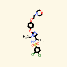 CCn1c(C(C)NS(=O)(=O)c2ccc(Cl)c(Cl)c2)cnc1Oc1ccc(OCCN2CCOCC2)cc1